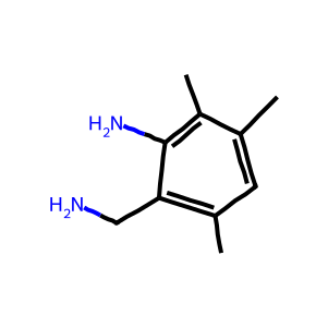 Cc1cc(C)c(CN)c(N)c1C